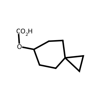 O=C(O)OC1CCC2(CC1)CC2